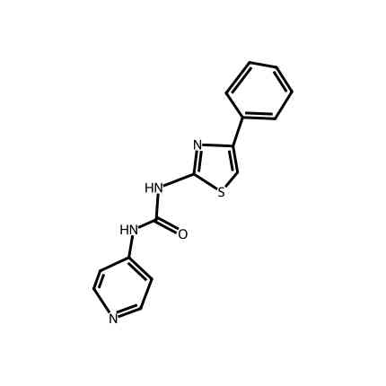 O=C(Nc1ccncc1)Nc1nc(-c2ccccc2)cs1